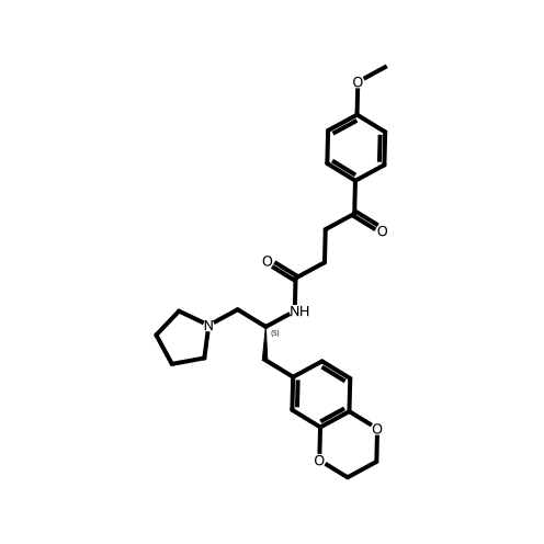 COc1ccc(C(=O)CCC(=O)N[C@@H](Cc2ccc3c(c2)OCCO3)CN2CCCC2)cc1